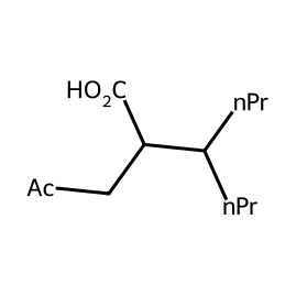 CCCC(CCC)C(CC(C)=O)C(=O)O